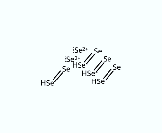 [Se+2].[Se+2].[Se]=[SeH-].[Se]=[SeH-].[Se]=[SeH-].[Se]=[SeH-]